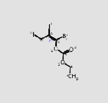 CCOC(=O)O/C(Br)=C(/I)CI